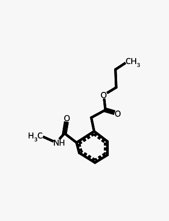 CCCOC(=O)Cc1ccccc1C(=O)NC